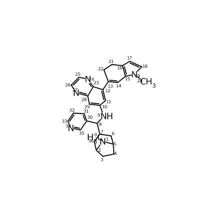 CN1C2CCC1CC(C(Nc1cc(C3=Cc4c(ccn4C)CC3)c3nccnc3c1)c1cccnc1)C2